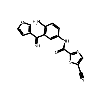 N#Cc1cnc(C(=O)Nc2ccc(N)c(C(=N)c3ccoc3)c2)s1